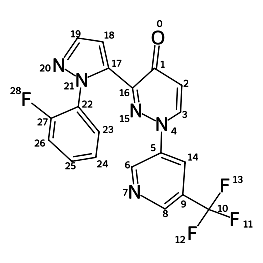 O=c1ccn(-c2cncc(C(F)(F)F)c2)nc1-c1ccnn1-c1ccccc1F